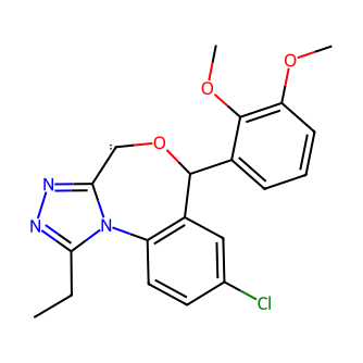 CCc1nnc2n1-c1ccc(Cl)cc1C(c1cccc(OC)c1OC)O[C]2